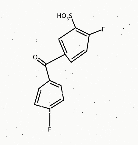 O=C(c1ccc(F)cc1)c1ccc(F)c(S(=O)(=O)O)c1